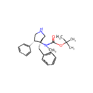 CN(C(=O)OC(C)(C)C)[C@]1(Cc2ccccc2)CNC[C@H]1c1ccccc1